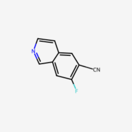 N#Cc1cc2ccncc2cc1F